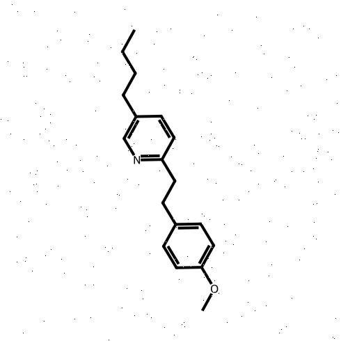 CCCCc1ccc(CCc2ccc(OC)cc2)nc1